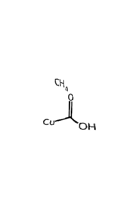 C.O=[C](O)[Cu]